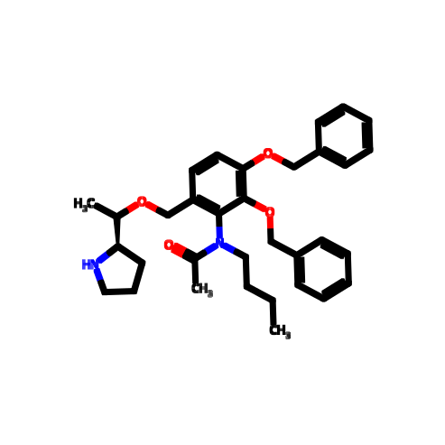 CCCCN(C(C)=O)c1c(COC(C)[C@H]2CCCN2)ccc(OCc2ccccc2)c1OCc1ccccc1